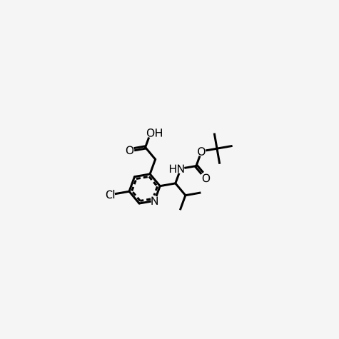 CC(C)C(NC(=O)OC(C)(C)C)c1ncc(Cl)cc1CC(=O)O